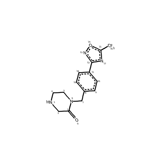 O=C1CNCCN1Cc1ccc(-c2noc(C(F)(F)F)n2)cc1